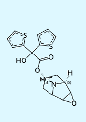 CN1C2C[C@H](OC(=O)C(O)(c3cccs3)c3cccs3)C[C@H]1C1OC12